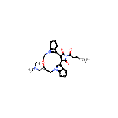 CCOC(=O)CCC(=O)N1C(=O)C2=C(C1=O)c1cn(c3ccccc13)CC[C@@H](CN(C)C)OCCn1cc2c2ccccc21